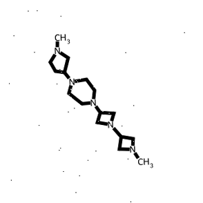 CN1CCC(N2CCN(C3CN(C4CN(C)C4)C3)CC2)C1